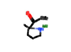 COC(=O)C1(C)CCCN1.Cl